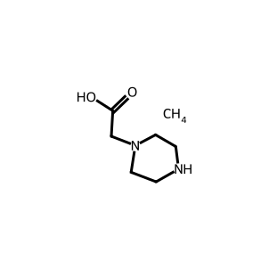 C.O=C(O)CN1CCNCC1